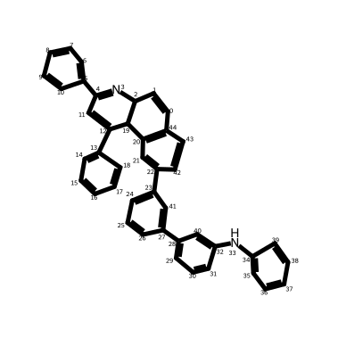 C1=CC2N=C(c3ccccc3)C=C(c3ccccc3)C2c2cc(-c3cccc(-c4cccc(Nc5ccccc5)c4)c3)ccc21